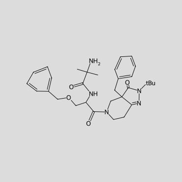 CC(C)(N)C(=O)NC(COCc1ccccc1)C(=O)N1CCC2=NN(C(C)(C)C)C(=O)C2(Cc2ccccc2)C1